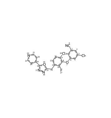 N#Cc1cc(Cl)cc(Oc2c(Cl)ccc(Cc3nnc(-c4ccncc4)o3)c2F)c1